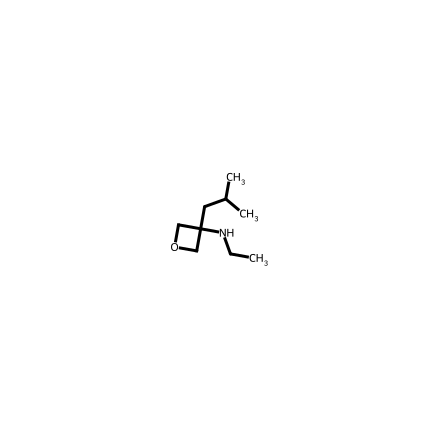 CCNC1(CC(C)C)COC1